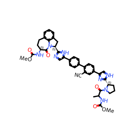 COC(=O)NC(C)C(=O)N1CCC[C@H]1c1nc(-c2ccc(-c3ccc(-c4cnc([C@@H]5Cc6cccc7c6N5C(=O)[C@@H](NC(=O)OC)CC7)[nH]4)cc3)c(C#N)c2)c[nH]1